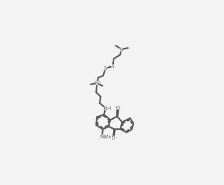 CNc1ccc(NCCC[N+](C)(C)CCSSCCN(C)C)c2c1C(=O)c1ccccc1C2=O